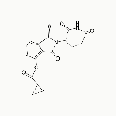 O=C1CCC(N2C(=O)c3cccc(OC(=O)C4CC4)c3C2=O)C(=O)N1